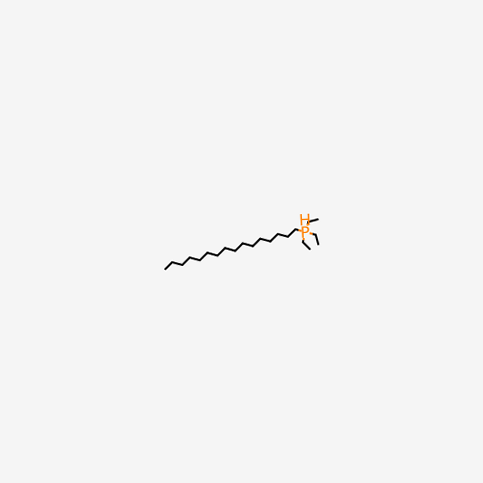 CCCCCCCCCCCCCCCC[PH](CC)(CC)CC